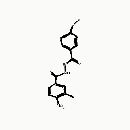 O=C(NNC(=O)c1ccc([N+](=O)[O-])c(F)c1)c1ccc(OC(F)(F)F)cc1